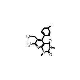 Cn1c(=O)c2c(-c3ccc(F)cc3)c(CN)c(N)nc2n(C)c1=O